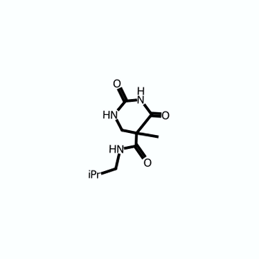 CC(C)CNC(=O)C1(C)CNC(=O)NC1=O